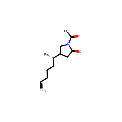 C=CCCC[C@H](CCC)C1CC(=O)N(C(=O)CC)C1